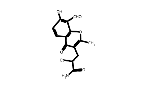 CCC(Cc1c(C)oc2c(C=O)c(O)ccc2c1=O)C(N)=O